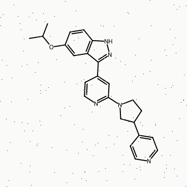 CC(C)Oc1ccc2[nH]nc(-c3ccnc(N4CCC(c5ccncc5)C4)c3)c2c1